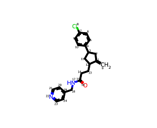 C=C1CC(c2ccc(Cl)cc2)CC1CCC(=O)NCc1ccncc1